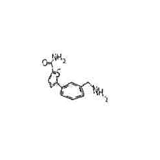 NCc1cccc(-c2ccc(C(N)=O)s2)c1